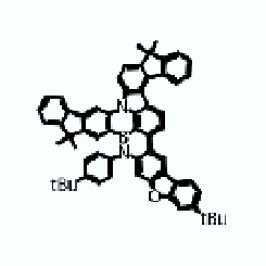 CC(C)(C)c1ccc(N2B3c4cc5c(cc4-n4c6ccc7c(c6c6ccc(c3c64)-c3cc4c(cc32)oc2cc(C(C)(C)C)ccc24)-c2ccccc2C7(C)C)-c2ccccc2C5(C)C)cc1